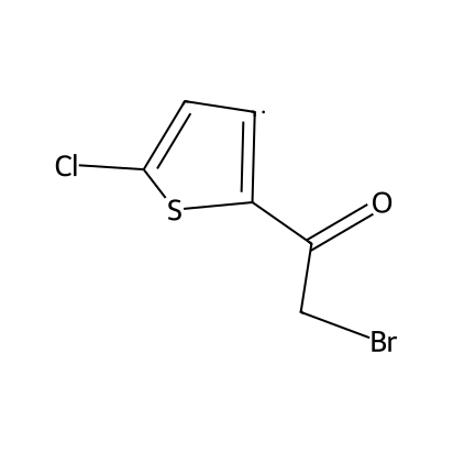 O=C(CBr)c1[c]cc(Cl)s1